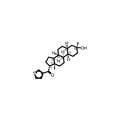 C[C@@]1(O)CC[C@H]2[C@H](CC[C@@H]3[C@@H]2CC[C@]2(C)[C@@H](C(=O)c4ccsc4)CC[C@@H]32)C1